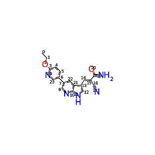 CCOc1ccc(-c2cnc3[nH]cc(/C=C(\C#N)C(N)=O)c3c2)cn1